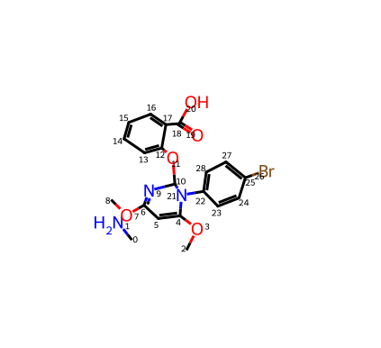 CN.COC1=CC(OC)=NC(Oc2ccccc2C(=O)O)N1c1ccc(Br)cc1